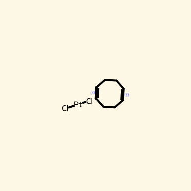 C1=C\CC/C=C\CC/1.[Cl][Pt][Cl]